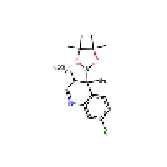 CCOC(=O)C1C=Nc2cc(Cl)ccc2C1(B1OC(C)(C)C(C)(C)O1)C(C)C